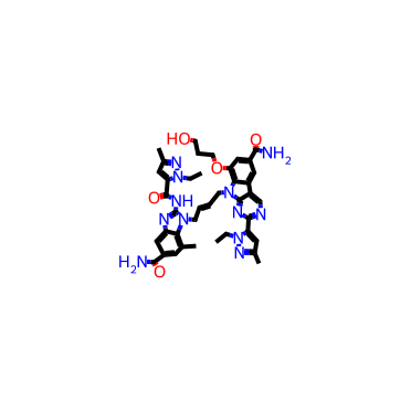 CCn1nc(C)cc1C(=O)Nc1nc2cc(C(N)=O)cc(C)c2n1CC=CCn1c2nc(-c3cc(C)nn3CC)ncc2c2cc(C(N)=O)cc(OCCCO)c21